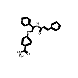 O=C(/C=C/c1ccccc1)NC(COc1ccc(C(=O)NO)cc1)c1ccccc1